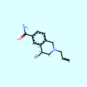 C=CCN1Cc2ccc(C(N)=O)cc2C(CC)C1